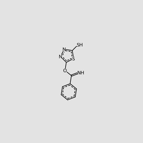 N=C(Oc1nnc(S)s1)c1ccccc1